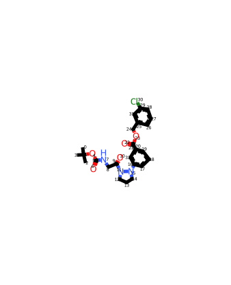 CC(C)(C)OC(=O)NCC(=O)N1CCCN1c1cccc(C(=O)OCc2cccc(Cl)c2)c1